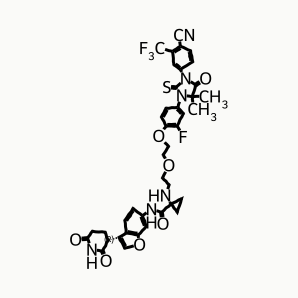 CC1(C)C(=O)N(c2ccc(C#N)c(C(F)(F)F)c2)C(=S)N1c1ccc(OCCOCCNC2(C(=O)Nc3ccc4c([C@H]5CCC(=O)NC5=O)coc4c3)CC2)c(F)c1